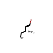 CCCCCC=CBr.[MgH2]